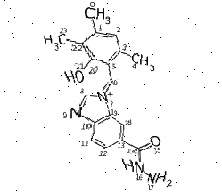 Cc1cc(C)c(C=[N+]2C=Nc3ccc(C(=O)NN)cc32)c(O)c1C